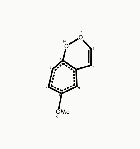 COc1ccc2c(c1)C=COO2